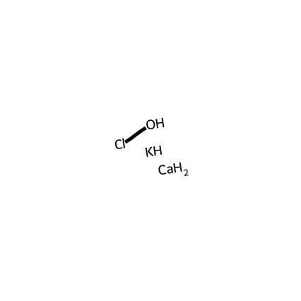 OCl.[CaH2].[KH]